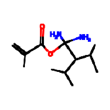 C=C(C)C(=O)OC(N)(N)C(C(C)C)C(C)C